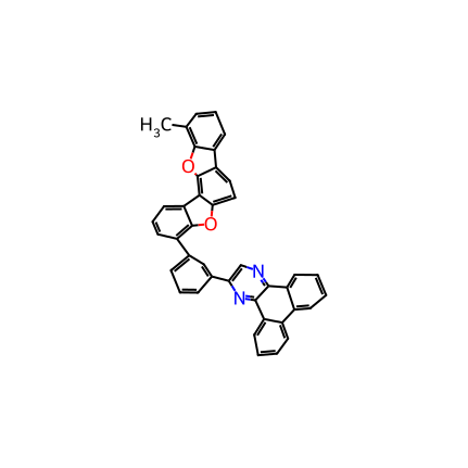 Cc1cccc2c1oc1c2ccc2oc3c(-c4cccc(-c5cnc6c7ccccc7c7ccccc7c6n5)c4)cccc3c21